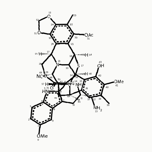 COc1ccc2[nH]c3c(c2c1)C[C@@H](CN)N[C@]31CS[C@@H]2c3c(OC(C)=O)c(C)c4c(c3[C@H](COC1=O)N1C2[C@H]2c3c(cc(C)c(OC)c3O)[C@@]3(C)C[C@H]([C@@H]1C#N)N23)OCO4